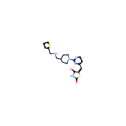 O=C1NC(=O)/C(=C\c2ccnc(N3CCC(CNCc4cccs4)CC3)n2)S1